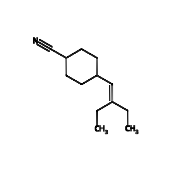 CCC(=CC1CCC(C#N)CC1)CC